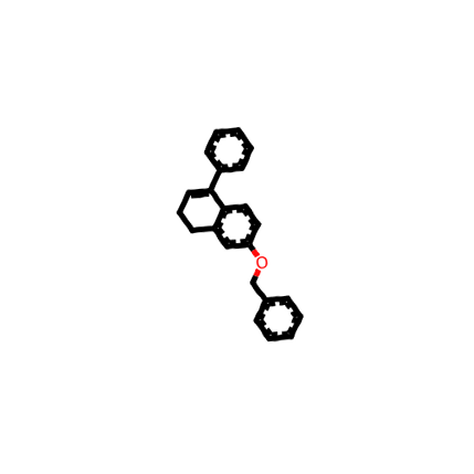 C1=C(c2ccccc2)c2ccc(OCc3ccccc3)cc2CC1